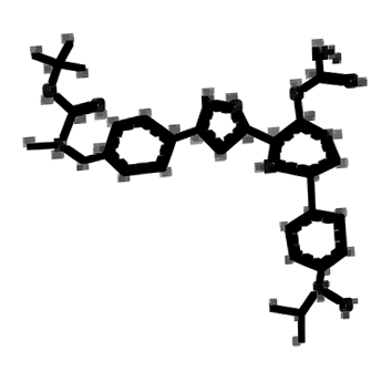 CC(C)[S+]([O-])c1ccc(-c2cnc(OC(N)=O)c(-c3cc(-c4ccc(CN(C)C(=O)OC(C)(C)C)cc4)no3)n2)cc1